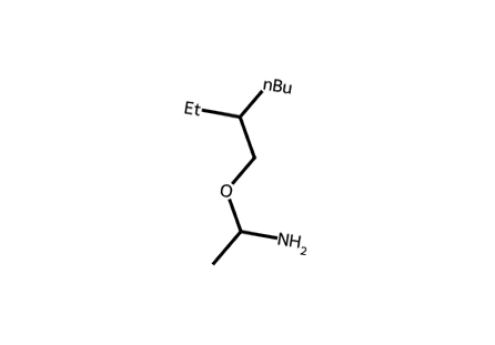 CCCCC(CC)COC(C)N